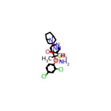 CC(C)(Oc1ccc(Cl)cc1Cl)C(=O)NC1CC2CCC(C1)N2c1ccc(S(N)(=O)=O)cn1